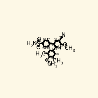 COc1nc(-c2cc(C)c(OC)c(C)c2)c(-c2ccc(S(N)(=O)=O)cc2)cc1C#N